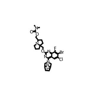 CN(C)C(=O)OCC1CCC2(COc3nc(N4CC5CCC(C4)N5)c4cc(Cl)c(Br)c(F)c4n3)CCCN12